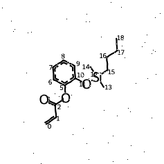 C=CC(=O)Oc1ccccc1O[Si](C)(C)CCCC